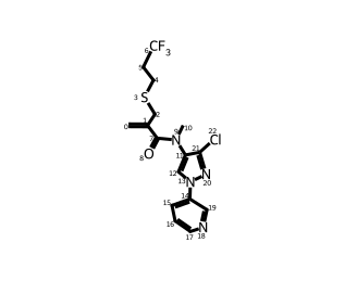 C=C(CSCCC(F)(F)F)C(=O)N(C)c1cn(-c2cccnc2)nc1Cl